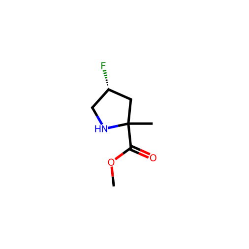 COC(=O)C1(C)C[C@@H](F)CN1